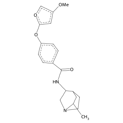 COc1coc(Oc2ccc(C(=O)NC3CN4CCC3CC4C)cc2)c1